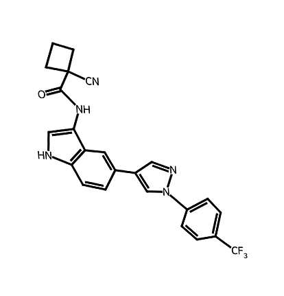 N#CC1(C(=O)Nc2c[nH]c3ccc(-c4cnn(-c5ccc(C(F)(F)F)cc5)c4)cc23)CCC1